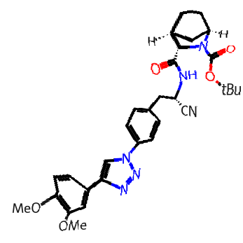 COc1ccc(-c2cn(-c3ccc(C[C@@H](C#N)NC(=O)[C@@H]4[C@H]5CC[C@H](C5)N4C(=O)OC(C)(C)C)cc3)nn2)cc1OC